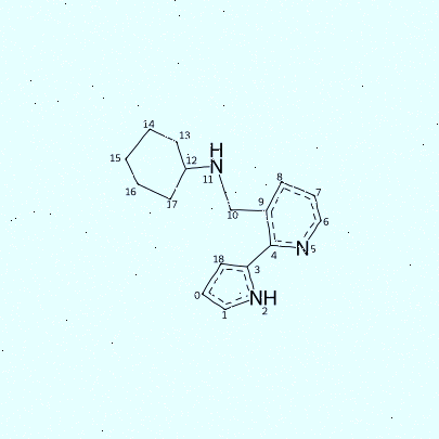 c1c[nH]c(-c2ncccc2CNC2CCCCC2)c1